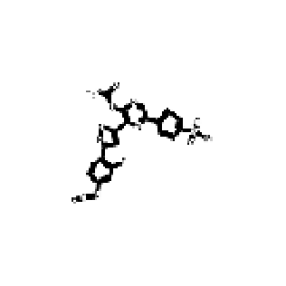 CC(C)S(=O)(=O)c1ccc(-c2cnc(OC(N)=O)c(-c3cc(-c4ccc(N=C=S)cc4F)no3)n2)cc1